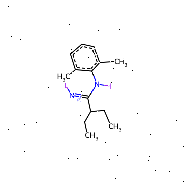 CCC(CC)/C(=N/I)N(I)c1c(C)cccc1C